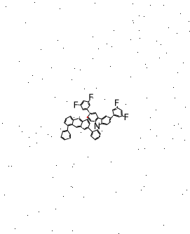 Fc1cc(F)cc(-c2ccc3c(c2)c2cc(-c4cc(F)cc(F)c4)ccc2n3-c2ccccc2-c2ccc3cc4cccc(-c5ccccc5)c4cc3c2)c1